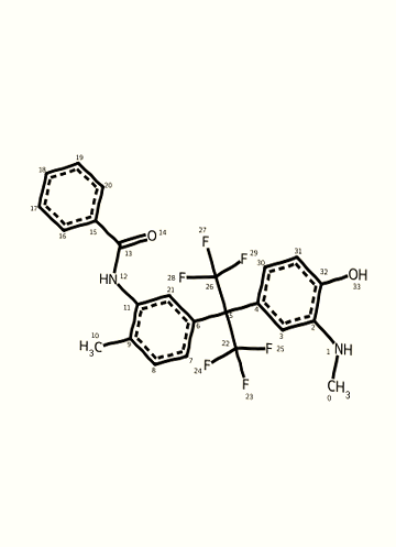 CNc1cc(C(c2ccc(C)c(NC(=O)c3ccccc3)c2)(C(F)(F)F)C(F)(F)F)ccc1O